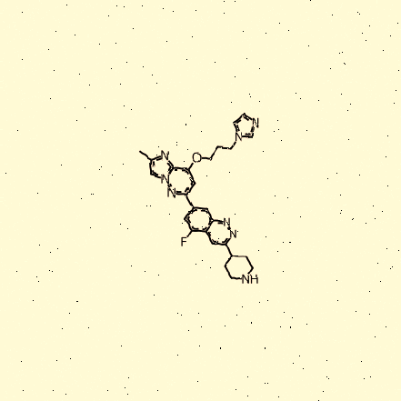 Cc1cn2nc(-c3cc(F)c4cc(C5CCNCC5)nnc4c3)cc(OCCCn3ccnc3)c2n1